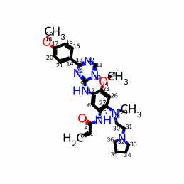 C=CC(=O)Nc1cc(Nc2ncnc(-c3ccc(OC)cc3)n2)c(OC)cc1N(C)CCN1CCCC1